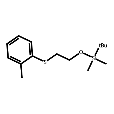 Cc1ccccc1SCCO[Si](C)(C)C(C)(C)C